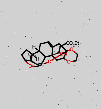 CCOC(=O)CC(O)[C@]12CC3OCCOC34CC1=CC[C@@H]1C2CC[C@]2(C)C(CC[C@H]12)OCCO4